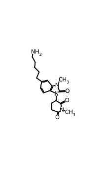 CN1C(=O)CCC(n2c(=O)n(C)c3cc(CCCCCN)ccc32)C1=O